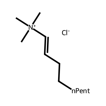 CCCCCCCC=C[N+](C)(C)C.[Cl-]